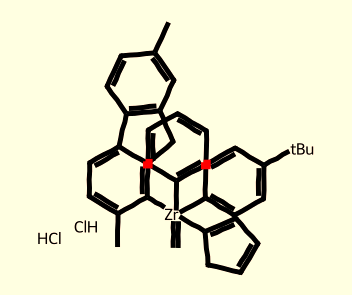 Cl.Cl.[CH2]=[Zr]([C]1=CC=CC1)([c]1ccccc1)([c]1ccc(C(C)(C)C)cc1)[c]1c(C)ccc2c1Cc1cc(C)ccc1-2